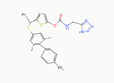 Cc1cc(SC(c2ccc(OC(=O)NCc3nnn[nH]3)s2)C(C)C)cc(C)c1-c1ccc(C(F)(F)F)cc1